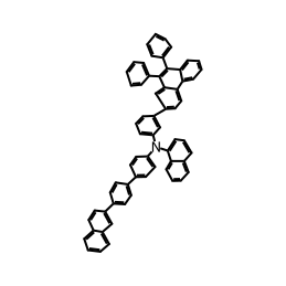 c1ccc(-c2c(-c3ccccc3)c3cc(-c4cccc(N(c5ccc(-c6ccc(-c7ccc8ccccc8c7)cc6)cc5)c5cccc6ccccc56)c4)ccc3c3ccccc23)cc1